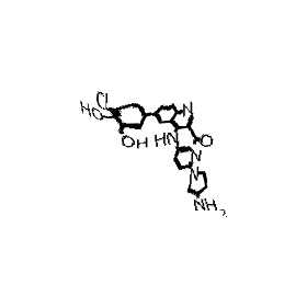 CC(=O)c1cnc2ccc(-c3cc(Cl)c(O)c(CO)c3)cc2c1Nc1ccc(N2CCC(N)C2)nc1